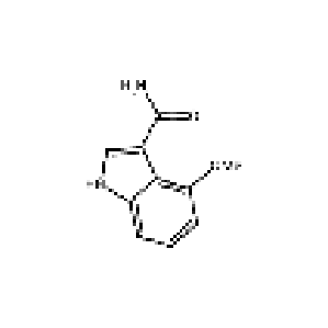 COc1cccc2[nH]cc(C(N)=O)c12